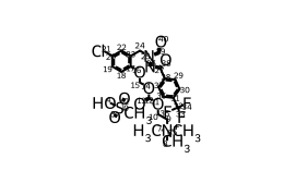 CS(=O)(=O)O.C[N+](C)(C)CCOC(=O)OCOc1ccc(Cl)cc1Cn1nc(-c2ccc(C(F)(F)F)cc2)oc1=O